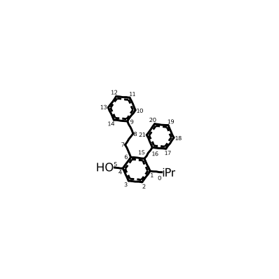 CC(C)c1ccc(O)c(CCc2ccccc2)c1-c1ccccc1